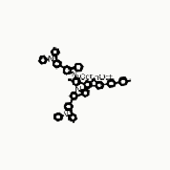 CCCCCCCCC1(CCCCCCCC)c2cc(-c3ccc(-c4ccc(C)cc4)cc3)ccc2-c2ccc(-c3cc(-n4c5ccccc5c5cc(-c6ccc7c(c6)c6ccccc6n7-c6ccccc6)ccc54)c(C)cc3-n3c4ccccc4c4cc(-c5ccc6c(c5)c5ccccc5n6-c5ccccc5)ccc43)cc21